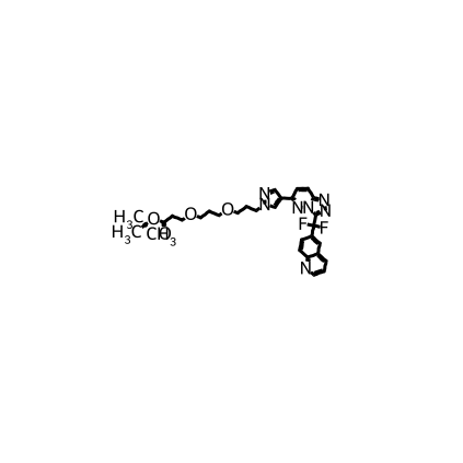 CC(C)(C)OC(=O)CCOCCCOCCCn1cc(-c2ccc3nnc(C(F)(F)c4ccc5ncccc5c4)n3n2)cn1